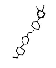 C=C[C@H]1CC[C@H]([C@H]2CC[C@H](CC[C@H]3CC[C@H](c4ccc(F)c(F)c4)CC3)CC2)CC1